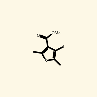 COC(=O)c1c(C)sc(C)c1I